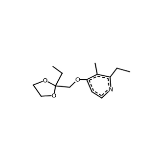 CCc1nccc(OCC2(CC)OCCO2)c1C